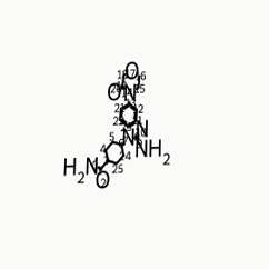 NC(=O)C1CCC(n2c(N)nc3cc(N4CCOCC4=O)ccc32)CC1